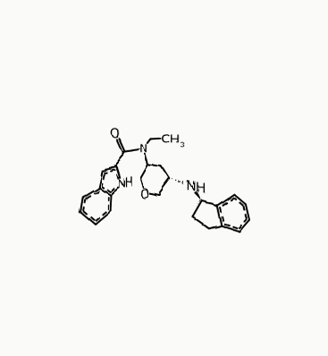 CCN(C(=O)c1cc2ccccc2[nH]1)C1COC[C@@H](N[C@@H]2CCc3ccccc32)C1